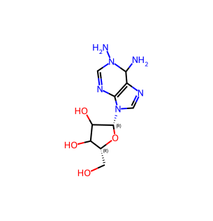 NC1c2ncn([C@@H]3O[C@H](CO)C(O)C3O)c2N=CN1N